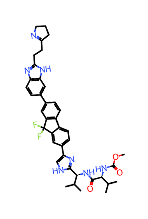 COC(=O)N[C@H](C(=O)N[C@H](c1nc(-c2ccc3c(c2)C(F)(F)c2cc(-c4ccc5nc(CCC6=NCCC6)[nH]c5c4)ccc2-3)c[nH]1)C(C)C)C(C)C